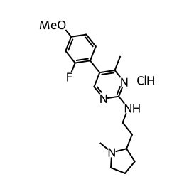 COc1ccc(-c2cnc(NCCC3CCCN3C)nc2C)c(F)c1.Cl